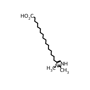 Cc1[nH]cc(CCCCCCCCCCCCCCCCC(=O)O)[n+]1C